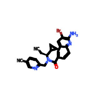 N#CC[C@@H](C1CC1)N(Cc1ccc(C#N)cn1)C(=O)c1ccc2nc(N)c(Br)cc2c1